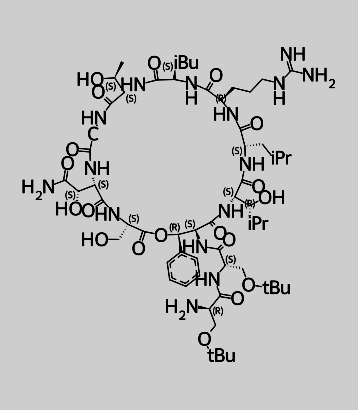 CC[C@H](C)C1NC(=O)[C@@H](CCCNC(=N)N)NC(=O)[C@H](CC(C)C)NC(=O)[C@H]([C@H](O)C(C)C)NC(=O)[C@@H](NC(=O)[C@H](COC(C)(C)C)NC(=O)[C@H](N)COC(C)(C)C)[C@@H](c2ccccc2)OC(=O)[C@H](CO)NC(=O)[C@H]([C@H](O)C(N)=O)NC(=O)CNC(=O)[C@H]([C@H](C)O)NC1=O